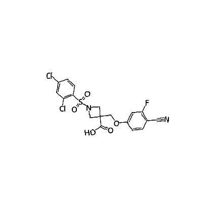 N#Cc1ccc(OCC2(C(=O)O)CN(S(=O)(=O)c3ccc(Cl)cc3Cl)C2)cc1F